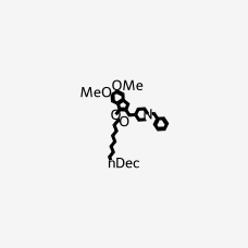 CCCCCCCCCCCCCCCCCC(=O)OC1=C(CC2CCN(Cc3ccccc3)CC2)Cc2cc(OC)c(OC)cc21